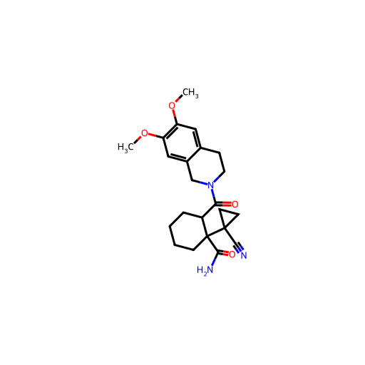 COc1cc2c(cc1OC)CN(C(=O)C1CCCCC1(C(N)=O)C1(C#N)CC1)CC2